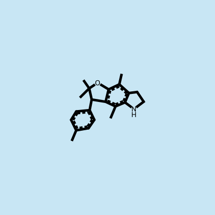 Cc1ccc(C2c3c(C)c4c(c(C)c3OC2(C)C)CCN4)cc1